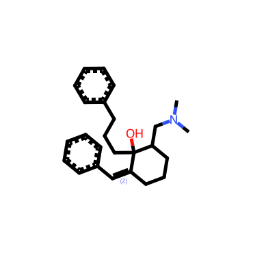 CN(C)CC1CCC/C(=C/c2ccccc2)C1(O)CCCc1ccccc1